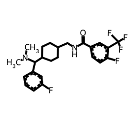 CN(C)C(c1cccc(F)c1)C1CCC(CNC(=O)c2ccc(F)c(C(F)(F)F)c2)CC1